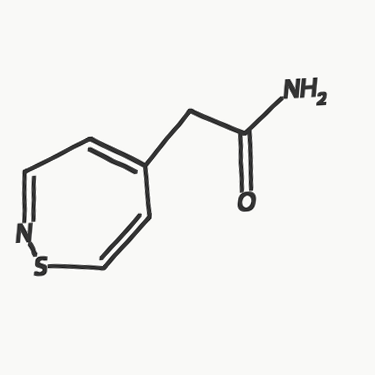 NC(=O)CC1=CC=NSC=C1